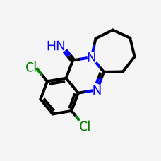 N=c1c2c(Cl)ccc(Cl)c2nc2n1CCCCC2